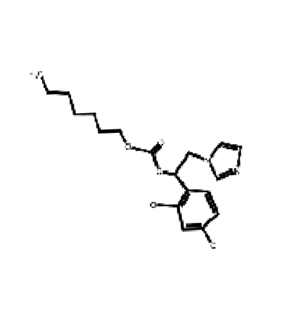 CCCCCCCOC(=S)OC(Cn1ccnc1)c1ccc(Cl)cc1Cl